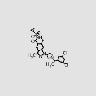 Cc1nn([C@@H]2CCN([C@H](C)c3cc(Cl)cc(Cl)c3)C2)c2cc(F)c(C(=O)NS(=O)(=O)C3CC3)cc12